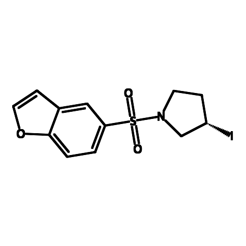 O=S(=O)(c1ccc2occc2c1)N1CC[C@H](I)C1